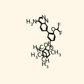 CC1(C)[C@@H]2C[C@H]1[C@@]1(C)OB(c3ccc(OC(F)F)c(-c4ccc5c(N)cnnc5c4)c3)O[C@@]1(C)C2